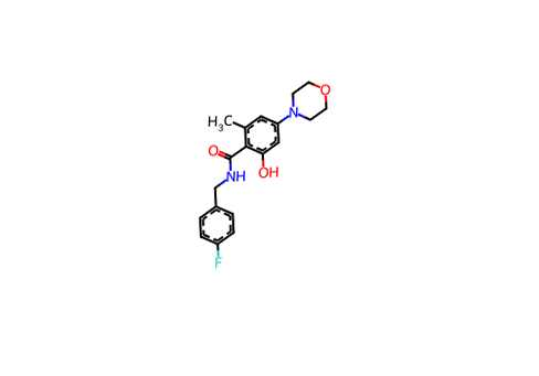 Cc1cc(N2CCOCC2)cc(O)c1C(=O)NCc1ccc(F)cc1